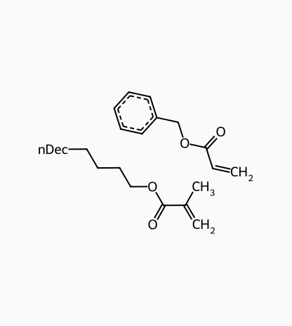 C=C(C)C(=O)OCCCCCCCCCCCCCC.C=CC(=O)OCc1ccccc1